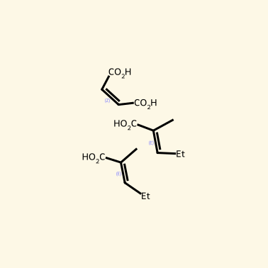 CC/C=C(\C)C(=O)O.CC/C=C(\C)C(=O)O.O=C(O)/C=C\C(=O)O